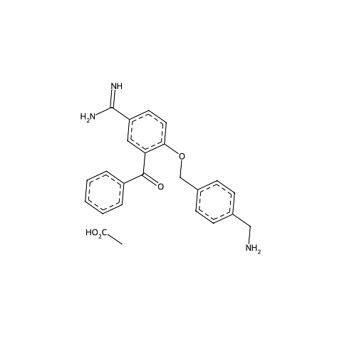 CC(=O)O.N=C(N)c1ccc(OCc2ccc(CN)cc2)c(C(=O)c2ccccc2)c1